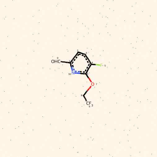 O=Cc1ccc(F)c(OCC(F)(F)F)n1